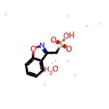 O.O=S(=O)(O)Cc1noc2ccccc12